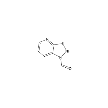 O=CN1NSc2nc[c]cc21